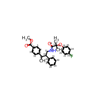 COC(=O)c1ccc(C(C)C(CNC(=O)C(C)(C)Oc2ccc(F)cc2)c2ccccc2)cc1